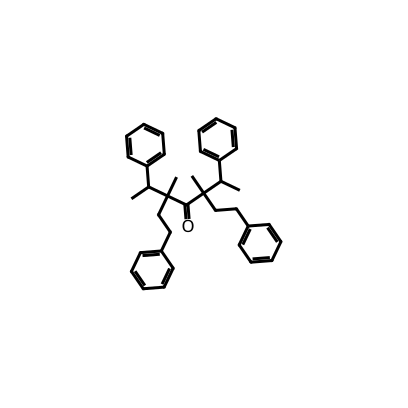 CC(c1ccccc1)C(C)(CCc1ccccc1)C(=O)C(C)(CCc1ccccc1)C(C)c1ccccc1